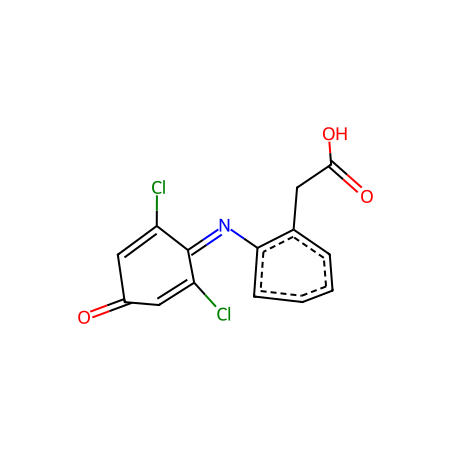 O=C1C=C(Cl)C(=Nc2ccccc2CC(=O)O)C(Cl)=C1